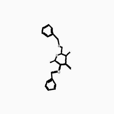 CC1OC(COCc2ccccc2)C(C)C(C)C1OCc1ccccc1